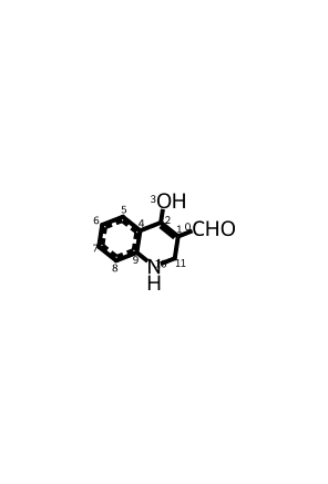 O=CC1=C(O)c2ccccc2NC1